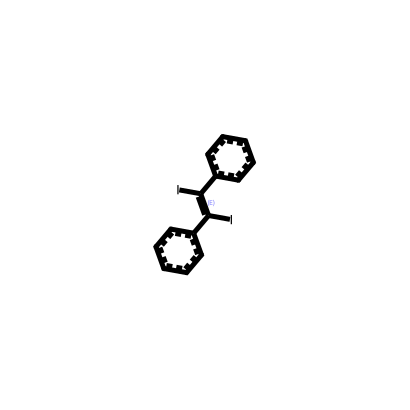 I/C(=C(/I)c1ccccc1)c1ccccc1